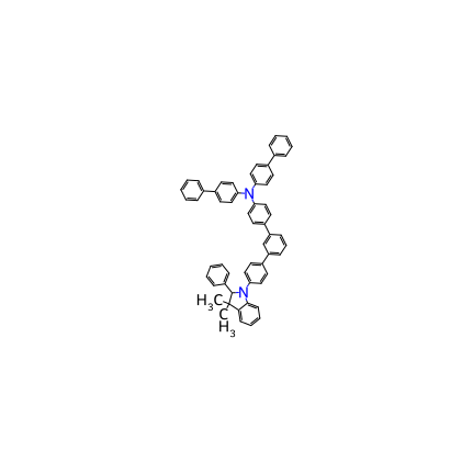 CC1(C)c2ccccc2N(c2ccc(-c3cccc(-c4ccc(N(c5ccc(-c6ccccc6)cc5)c5ccc(-c6ccccc6)cc5)cc4)c3)cc2)C1c1ccccc1